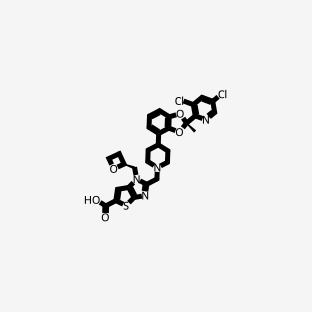 C[C@]1(c2ncc(Cl)cc2Cl)Oc2cccc(C3CCN(Cc4nc5sc(C(=O)O)cc5n4C[C@@H]4CCO4)CC3)c2O1